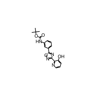 CC(C)(C)OC(=O)Nc1cccc(-c2nc(-c3ncccc3O)no2)c1